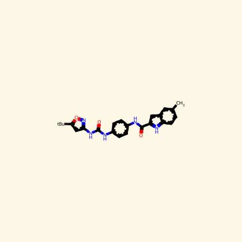 Cc1ccc2[nH]c(C(=O)Nc3ccc(NC(=O)Nc4cc(C(C)(C)C)on4)cc3)cc2c1